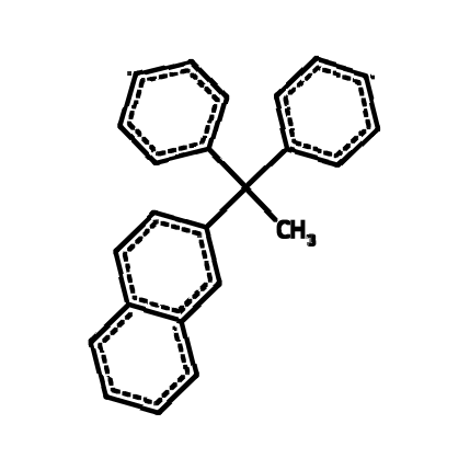 CC(c1cc[c]cc1)(c1cc[c]cc1)c1ccc2ccccc2c1